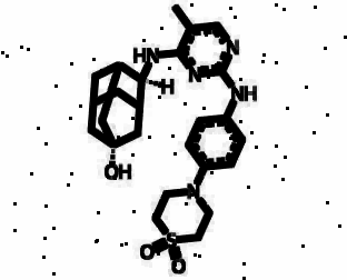 Cc1cnc(Nc2ccc(N3CCS(=O)(=O)CC3)cc2)nc1N[C@H]1C2CC3CC1C[C@](O)(C3)C2